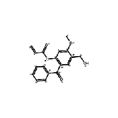 C=CC(=O)Oc1cc(OC)c(CO)cc1C(=O)c1ccccc1